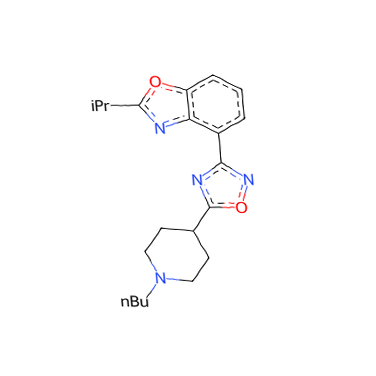 CCCCN1CCC(c2nc(-c3cccc4oc(C(C)C)nc34)no2)CC1